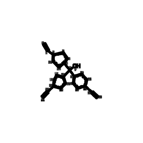 C#Cc1ccc(C(O)(c2ccc(C#C)cc2)c2ccc(C#C)cc2)cc1